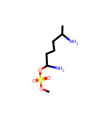 COS(=O)(=O)OC(N)CCCC(C)N